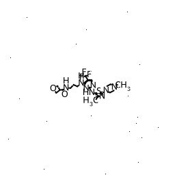 Cc1nc(N2CCN(C)CC2)sc1Nc1ncc(C(F)(F)F)c(NCCCNC(=O)C2COC2)n1